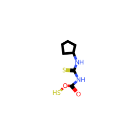 O=C(NC(=S)NC1CCCC1)OS